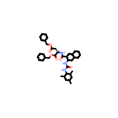 Cc1cc(C)c(NC(=O)Nc2cc3ccccc3cc2C(=O)N[C@H](CC(=O)OCc2ccccc2)C(=O)OCc2ccccc2)c(C)c1